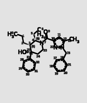 CCC[C@@H]1[C@H](CC)N(C(=O)c2cc(C)n(Cc3ccccc3)n2)CC[C@@]1(O)c1ccccc1